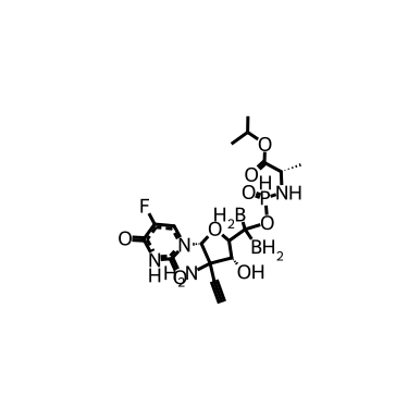 BC(B)(O[PH](=O)N[C@@H](C)C(=O)OC(C)C)C1O[C@@H](n2cc(F)c(=O)[nH]c2=O)C(N)(C#C)[C@H]1O